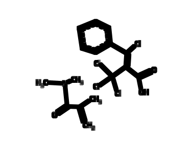 C=C(C)C(=O)N(C)C.O=C(O)C(=C(Cl)c1ccccc1)C(Cl)(Cl)Cl